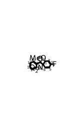 COC1C=C(F)C=CC1(C(=O)c1ccccc1)[N+](=O)[O-]